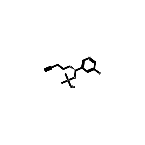 C#CCC[CH][C@@H](O[Si](C)(C)C(C)(C)C)c1cncc(F)c1